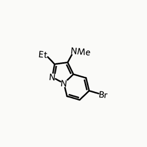 CCc1nn2ccc(Br)cc2c1NC